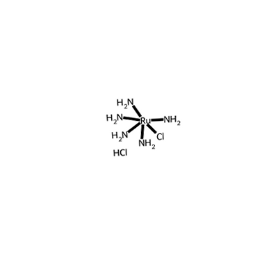 Cl.[NH2][Ru]([NH2])([NH2])([NH2])([NH2])[Cl]